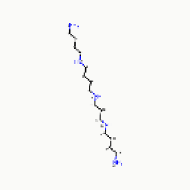 NCCCCNCCCCNCCCNCCCCN